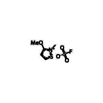 COc1ccs[n+]1C.O=S(=O)([O-])F